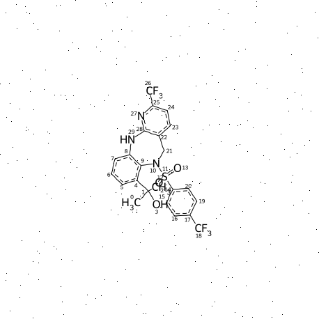 CC(C)(O)c1cccc2c1N(S(=O)(=O)c1ccc(C(F)(F)F)cc1)Cc1ccc(C(F)(F)F)nc1N2